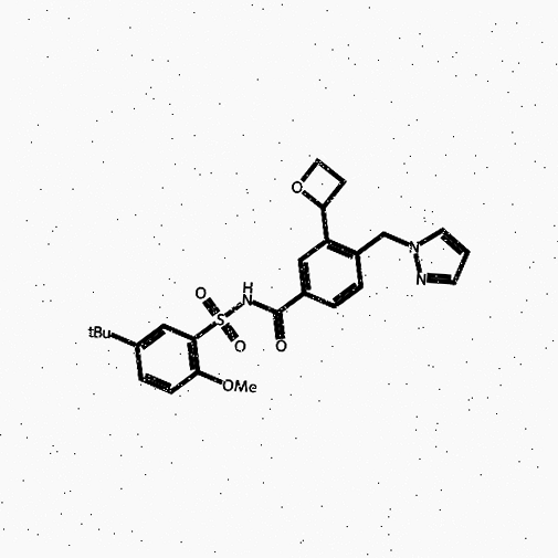 COc1ccc(C(C)(C)C)cc1S(=O)(=O)NC(=O)c1ccc(Cn2cccn2)c(C2CCO2)c1